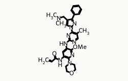 C=CC(=O)Nc1cc(Nc2ncc(C)c(-n3cc(CN(C)C)c(-c4ccccc4)n3)n2)c(OC)nc1N1CCOCC1